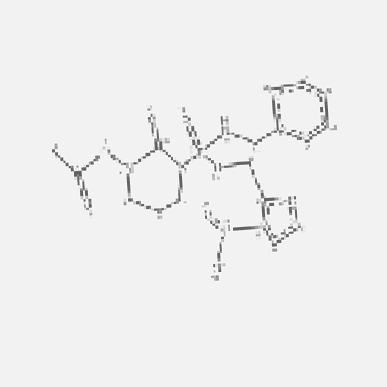 CC(=O)ON1CCCC(P(=O)(NCc2ccccc2)OCc2occc2[N+](=O)[O-])C1=O